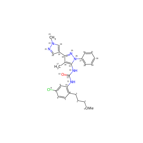 COCCCc1ccc(Cl)cc1NC(=O)Nc1c(C)c(-c2cnn(C)c2)nn1-c1ccccc1